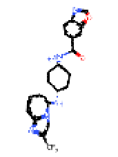 O=C(N[C@H]1CC[C@@H](Nc2cccc3nc(C(F)(F)F)cn23)CC1)c1ccc2ncoc2c1